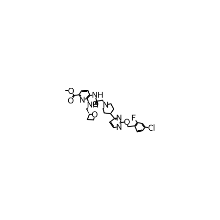 COC(=O)c1ccc(NC(=O)CN2CCC(c3ccnc(OCc4ccc(Cl)cc4F)n3)CC2)c(NC[C@@H]2CCO2)n1